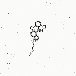 FCCCCn1ccc2c(Nc3c(Cl)cccc3Cl)nccc21